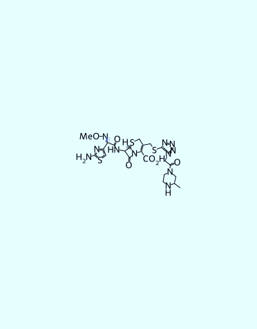 CO/N=C(/C(=O)NC1C(=O)N2C(C(=O)O)=C(CSc3nnnn3CC(=O)N3CCNC(C)C3)CS[C@H]12)c1csc(N)n1